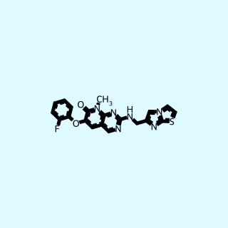 Cn1c(=O)c(Oc2ccccc2F)cc2cnc(NCc3cn4ccsc4n3)nc21